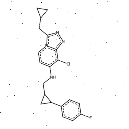 Fc1ccc(C2CC2CNc2ccn3c(CC4CC4)nnc3c2Cl)cc1